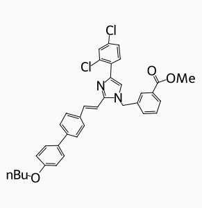 CCCCOc1ccc(-c2ccc(/C=C/c3nc(-c4ccc(Cl)cc4Cl)cn3Cc3cccc(C(=O)OC)c3)cc2)cc1